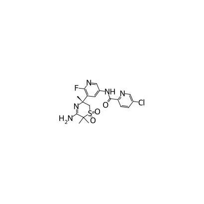 CC1(C)C(N)=N[C@](C)(c2cc(NC(=O)c3ccc(Cl)cn3)cnc2F)CS1(=O)=O